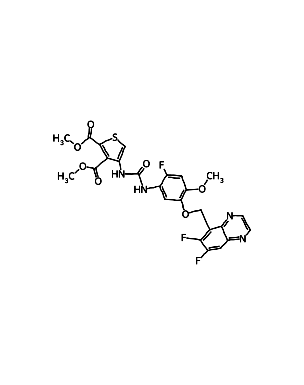 COC(=O)c1scc(NC(=O)Nc2cc(OCc3c(F)c(F)cc4nccnc34)c(OC)cc2F)c1C(=O)OC